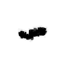 Cc1ncsc1-c1ccc([C@H](C)NC(=O)[C@@H]2C[C@@H](O)CN2C(=O)[C@@H](NC(=O)CN2CCN(c3cc(-c4c(O)ccc(F)c4F)nnc3N)CC2)C(C)(C)C)cc1